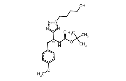 COc1ccc(C[C@H](NC(=O)OC(C)(C)C)c2nnn(CCCCO)n2)cc1